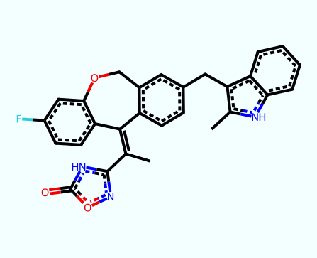 C/C(=C1\c2ccc(Cc3c(C)[nH]c4ccccc34)cc2COc2cc(F)ccc21)c1noc(=O)[nH]1